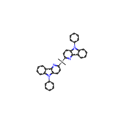 C[Si](C)(c1ccc2c(n1)c1ccccc1n2-c1ccccc1)c1ccc2c(n1)c1ccccc1n2-c1ccccc1